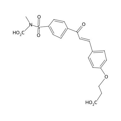 CN(C(=O)O)S(=O)(=O)c1ccc(C(=O)/C=C/c2ccc(OCCC(=O)O)cc2)cc1